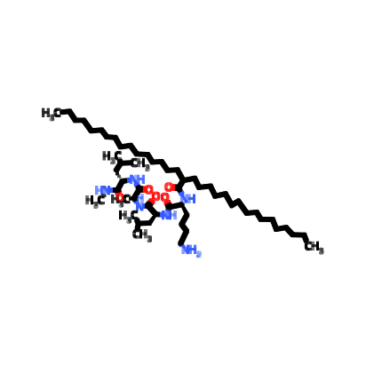 CCCCCCCCCCCCCCCCC(CCCCCCCCCCCCCCCC)C(=O)N[C@@H](CCCCN)C(=O)N[C@@H](CC(C)C)C(=O)N[C@@H](C)C(=O)N[C@@H](CC(C)C)C(=O)NC